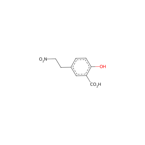 O=C(O)c1cc(CC[N+](=O)[O-])ccc1O